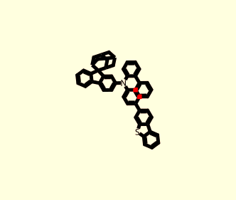 c1ccc(-c2ccccc2N(c2ccc(-c3ccc4c(c3)sc3ccccc34)cc2)c2ccc3c(c2)C2(c4ccccc4-3)C3CC4CC(C3)CC2C4)cc1